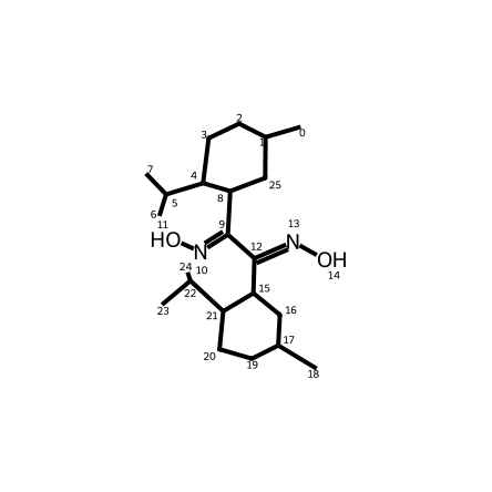 CC1CCC(C(C)C)C(C(=N\O)/C(=N/O)C2CC(C)CCC2C(C)C)C1